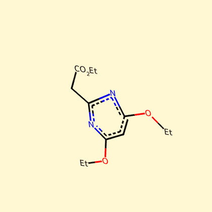 CCOC(=O)Cc1nc(OCC)cc(OCC)n1